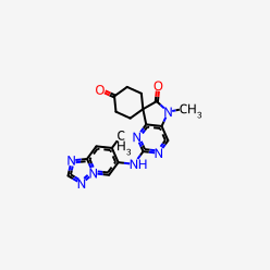 Cc1cc2ncnn2cc1Nc1ncc2c(n1)C1(CCC(=O)CC1)C(=O)N2C